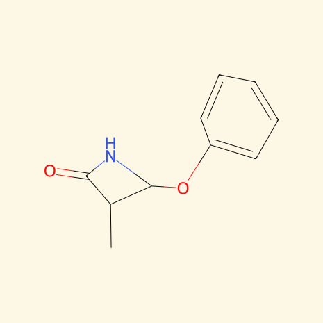 CC1C(=O)NC1Oc1ccccc1